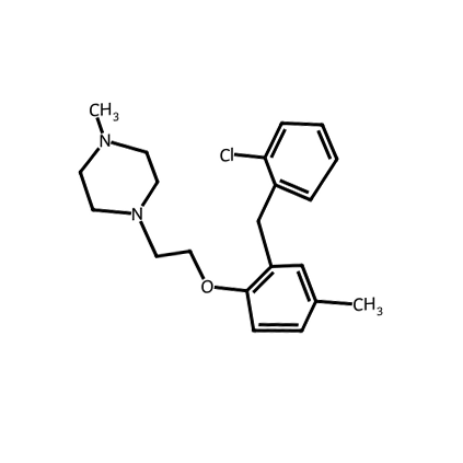 Cc1ccc(OCCN2CCN(C)CC2)c(Cc2ccccc2Cl)c1